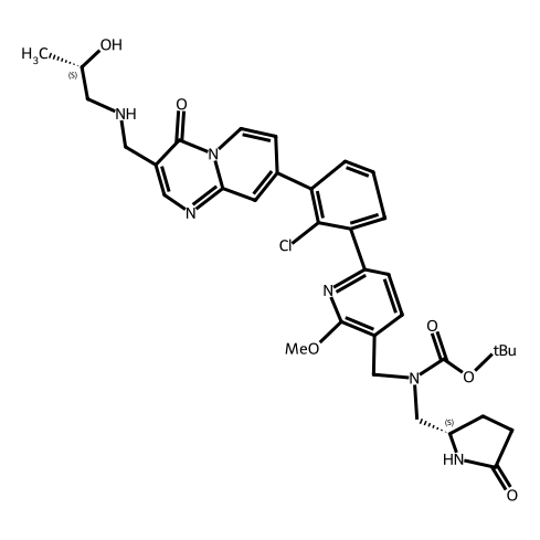 COc1nc(-c2cccc(-c3ccn4c(=O)c(CNC[C@H](C)O)cnc4c3)c2Cl)ccc1CN(C[C@@H]1CCC(=O)N1)C(=O)OC(C)(C)C